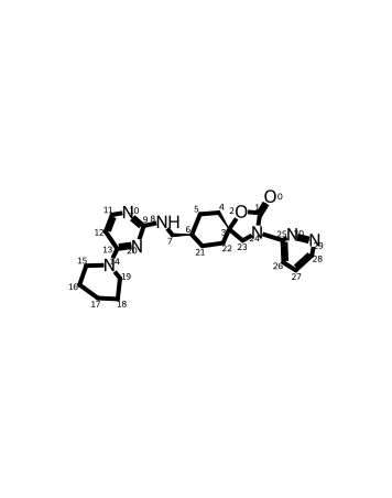 O=C1O[C@]2(CC[C@H](CNc3nccc(N4CCCCC4)n3)CC2)CN1c1cccnn1